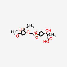 CCCc1c(OCCCS(=O)(=O)c2ccc(C(O)C(C)CC(=O)O)cc2)ccc(C(C)=O)c1O